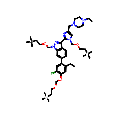 CCc1cc(OCOCC[Si](C)(C)C)c(F)cc1-c1ccc2c(-c3nc(CN4CCN(CC)CC4)cn3COCC[Si](C)(C)C)nn(COCC[Si](C)(C)C)c2c1